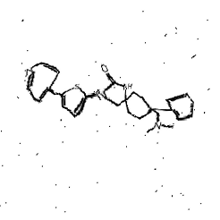 CN(C)C1(c2ccccc2)CCC2(CC1)CN(c1ccc(-c3ccncc3)s1)C(=O)N2